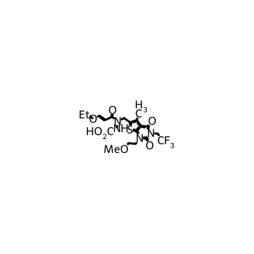 CCO/C=C/C(=O)N(Cc1sc2c(c1C)c(=O)n(CC(F)(F)F)c(=O)n2CCOC)NC(=O)O